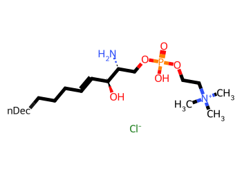 CCCCCCCCCCCCCC=C[C@H](O)[C@H](N)COP(=O)(O)OCC[N+](C)(C)C.[Cl-]